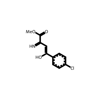 COC(=O)C(=N)/C=C(\O)c1ccc(Cl)cc1